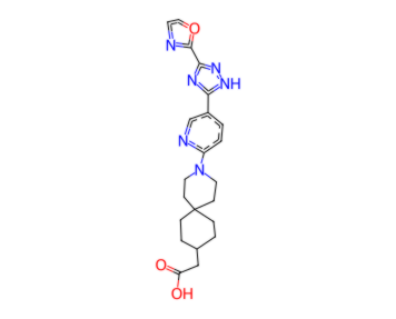 O=C(O)CC1CCC2(CC1)CCN(c1ccc(-c3nc(-c4ncco4)n[nH]3)cn1)CC2